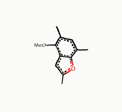 COc1c(C)cc(C)c2oc(C)cc12